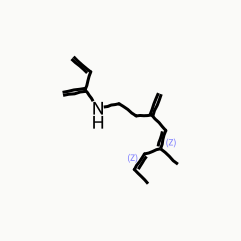 C=CC(=C)NCCC(=C)/C=C(C)\C=C/C